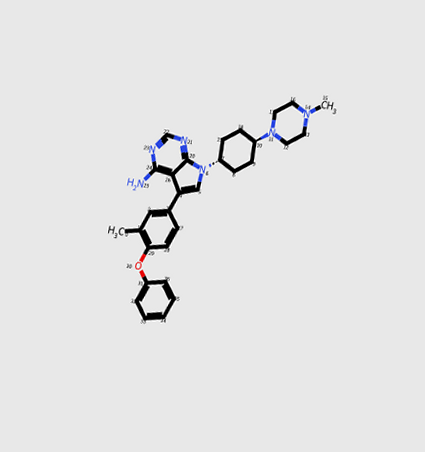 Cc1cc(-c2cn([C@H]3CC[C@H](N4CCN(C)CC4)CC3)c3ncnc(N)c23)ccc1Oc1ccccc1